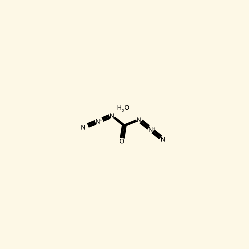 O.[N-]=[N+]=NC(=O)N=[N+]=[N-]